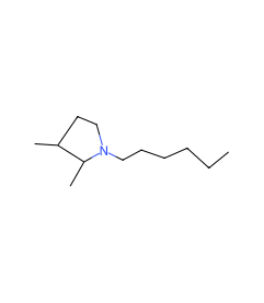 CCCCCCN1CCC(C)C1C